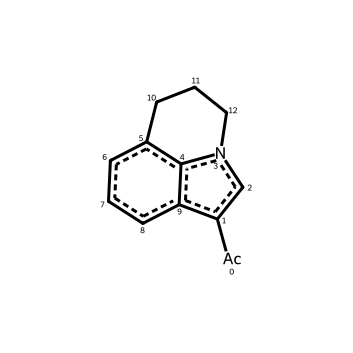 CC(=O)c1cn2c3c(cccc13)CCC2